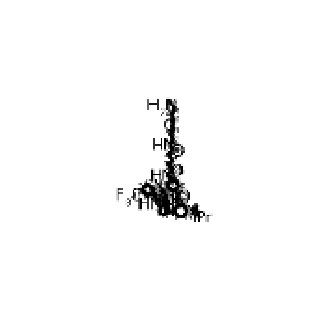 CC(C)N(C)[C@@H]1CC[C@H](N2CC[C@H](Nc3ncnc4ccc(C(F)(F)F)cc34)C2=O)[C@H](NC(=O)C2CCC(NC(=O)CCCC(=O)NCCCOCCCN)CC2)C1